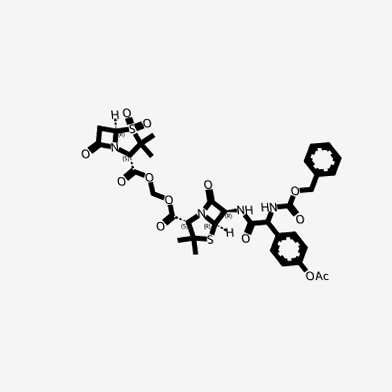 CC(=O)Oc1ccc(C(NC(=O)OCc2ccccc2)C(=O)N[C@@H]2C(=O)N3[C@@H]2SC(C)(C)[C@@H]3C(=O)OCOC(=O)[C@@H]2N3C(=O)C[C@H]3S(=O)(=O)C2(C)C)cc1